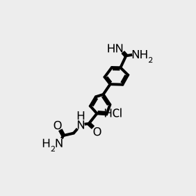 Cl.N=C(N)c1ccc(-c2ccc(C(=O)NCC(N)=O)cc2)cc1